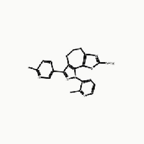 CC(=O)Nc1nc2c(s1)-c1c(c(-c3ccc(C)nc3)nn1-c1cccnc1C)CCC2